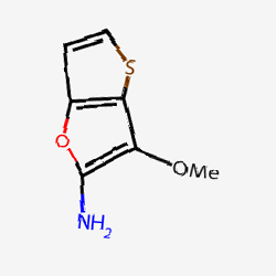 COc1c(N)oc2ccsc12